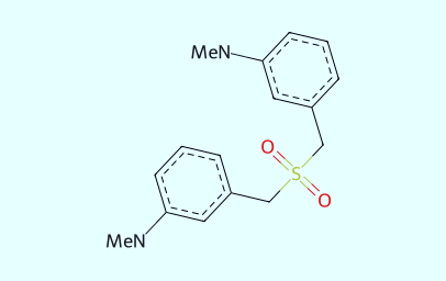 CNc1cccc(CS(=O)(=O)Cc2cccc(NC)c2)c1